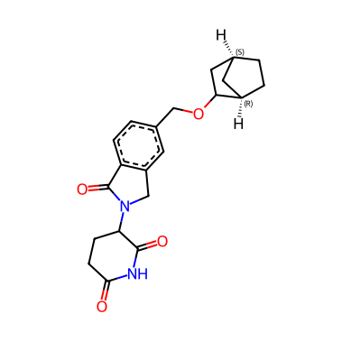 O=C1CCC(N2Cc3cc(COC4C[C@H]5CC[C@@H]4C5)ccc3C2=O)C(=O)N1